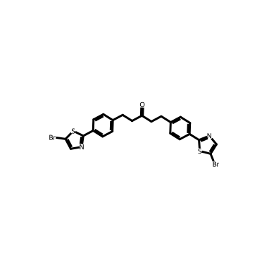 O=C(CCc1ccc(-c2ncc(Br)s2)cc1)CCc1ccc(-c2ncc(Br)s2)cc1